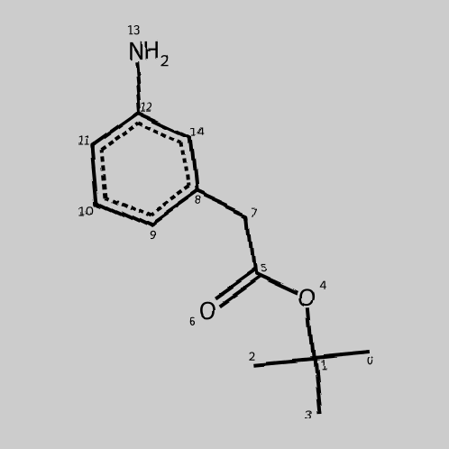 CC(C)(C)OC(=O)Cc1cccc(N)c1